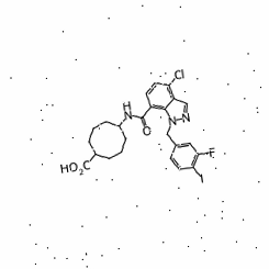 O=C(NC1CCCC(C(=O)O)CCC1)c1ccc(Cl)c2cnn(Cc3ccc(I)c(F)c3)c12